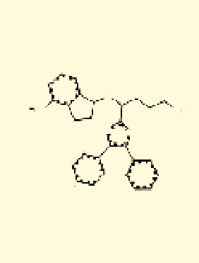 COc1cccc2c1CCC2NC(CCCO)c1nc(-c2ccccc2)c(-c2ccccc2)o1